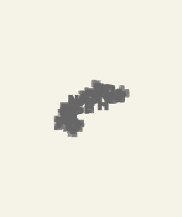 CC(C)(C)OC(=O)NC1(c2ccc(-c3nc4ccc(C5(c6ccccc6)CC5)nc4s3)c(F)c2)CC1